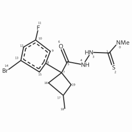 CNC(=S)NNC(=O)C1(c2cc(F)cc(Br)c2)CC(C)C1